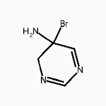 NC1(Br)C=NC=NC1